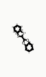 c1ccc2c(c1)OC([C]1Sc3ccccc3S1)O2